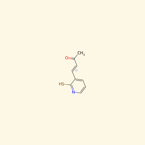 CC(=O)/C=C/c1cccnc1S